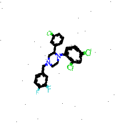 Fc1ccc(CN2CCN(c3ccc(Cl)cc3Cl)C(c3cccc(Cl)c3)C2)cc1F